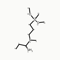 CCC([SiH3])N(C)CCC[Si](C)(OC)OC